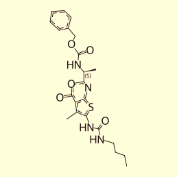 CCCCNC(=O)Nc1sc2nc([C@H](C)NC(=O)OCc3ccccc3)oc(=O)c2c1C